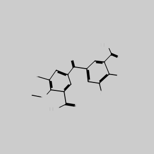 COc1c(Cl)cc(C(=O)c2cc(Cl)c(C)c(C(=O)O)c2)cc1C(=O)O